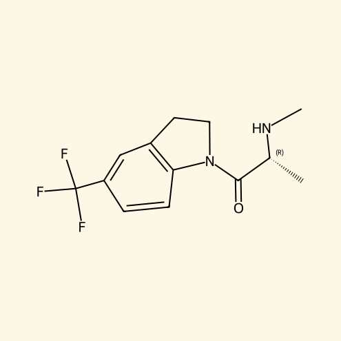 CN[C@H](C)C(=O)N1CCc2cc(C(F)(F)F)ccc21